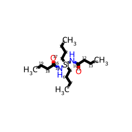 CCCC[Si](CCCC)(NC(=O)CCC)NC(=O)CCC